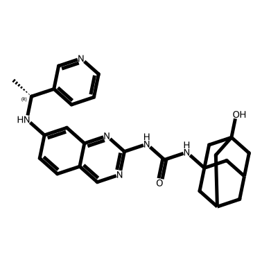 C[C@@H](Nc1ccc2cnc(NC(=O)NC34CC5CC(CC(O)(C5)C3)C4)nc2c1)c1cccnc1